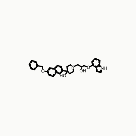 O[C@H](COc1cccc2[nH]ccc12)CN1CCC(O)(c2ccc3cc(OCc4ccccc4)ccc3c2)CC1